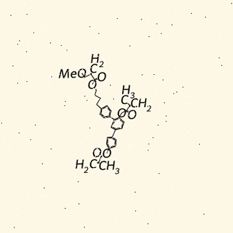 C=C(C)C(=O)Oc1ccc(-c2ccc(OC(=O)C(=C)C)c(-c3ccc(CCCCOC(=O)C(=C)COC)cc3)c2)cc1